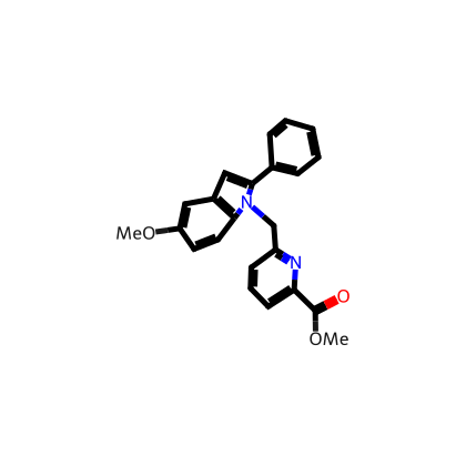 COC(=O)c1cccc(Cn2c(-c3ccccc3)cc3cc(OC)ccc32)n1